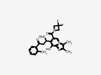 Cc1ccccc1C(=O)CC(C=O)c1c(C(=O)N2CC(F)(F)C2)cn2c(C)c(C)nc2c1O